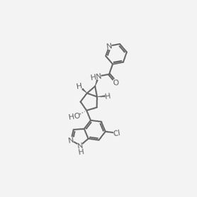 O=C(N[C@H]1[C@@H]2C[C@@](O)(c3cc(Cl)cc4[nH]ncc34)C[C@@H]21)c1cccnc1